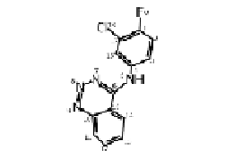 Fc1ccc(Nc2nnnc3ccccc23)cc1Cl